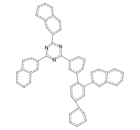 c1ccc(-c2ccc(-c3cccc(-c4nc(-c5ccc6ccccc6c5)nc(-c5ccc6ccccc6c5)n4)c3)c(-c3ccc4ccccc4c3)c2)cc1